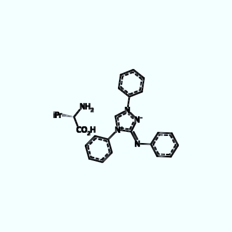 CC(C)[C@H](N)C(=O)O.c1ccc(/N=c2\[n-]n(-c3ccccc3)c[n+]2-c2ccccc2)cc1